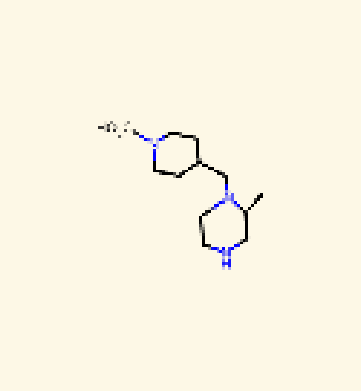 C[C@H]1CNCCN1CC1CCN(C(=O)O)CC1